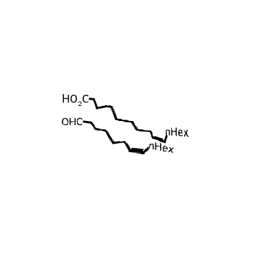 CCCCCC/C=C\CCCCCC=O.CCCCCC/C=C\CCCCCCCC(=O)O